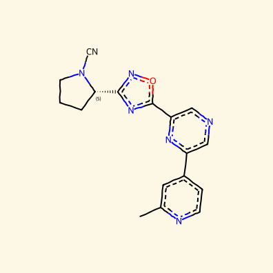 Cc1cc(-c2cncc(-c3nc([C@@H]4CCCN4C#N)no3)n2)ccn1